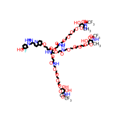 C[C@@H]1O[C@H](COCCOCCOCCOCCNC(=O)CCOCC(COCCC(=O)NCCOCCOCCOCCOC[C@H]2O[C@@H](C)[C@H](NC(=O)C(F)(F)F)[C@@H](O)[C@H]2O)(COCCC(=O)NCCOCCOCCOCCOC[C@H]2O[C@@H](C)[C@H](NC(=O)C(F)(F)F)[C@@H](O)[C@H]2O)NC(=O)CCCOc2ccc3nc(/C(=C/Nc4ccc(O)c(F)c4)N=N)ccc3c2)[C@H](O)[C@H](O)[C@H]1NC(=O)C(F)(F)F